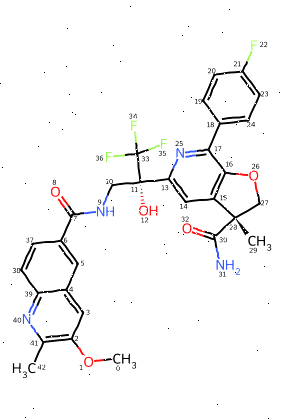 COc1cc2cc(C(=O)NC[C@](O)(c3cc4c(c(-c5ccc(F)cc5)n3)OC[C@]4(C)C(N)=O)C(F)(F)F)ccc2nc1C